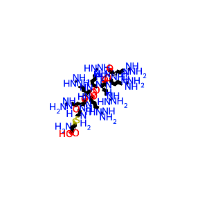 N=C(N)NCCCC(NC(=O)[C@H](CCCNC(=N)N)NC(=O)C(N)CSSC[C@H](N)C(=O)O)C(=O)N[C@@H](CCCNC(=N)N)C(=O)NC(CCCNC(=N)N)C(=O)N[C@@H](CCCNC(=N)N)C(=O)NC(CCCNC(=N)N)C(=O)N[C@@H](CCCNC(=N)N)C(N)=O